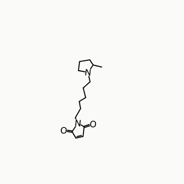 CC1CCCN1CCCCCCN1C(=O)C=CC1=O